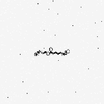 O=C=NCCCCC(=O)OCCN=C=O